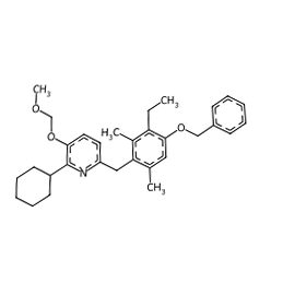 CCc1c(OCc2ccccc2)cc(C)c(Cc2ccc(OCOC)c(C3CCCCC3)n2)c1C